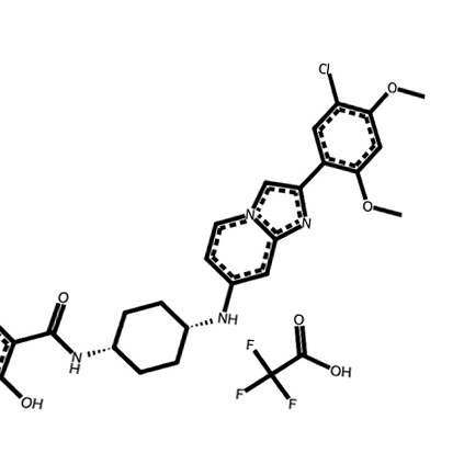 COc1cc(OC)c(-c2cn3ccc(N[C@H]4CC[C@@H](NC(=O)c5ccccc5O)CC4)cc3n2)cc1Cl.O=C(O)C(F)(F)F